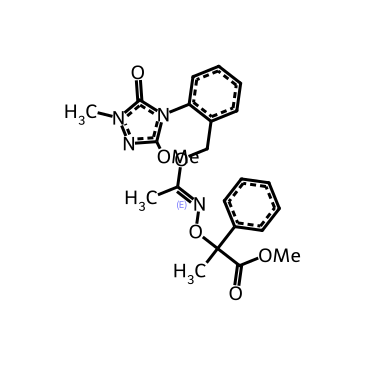 COC(=O)C(C)(O/N=C(\C)OCc1ccccc1-n1c(OC)nn(C)c1=O)c1ccccc1